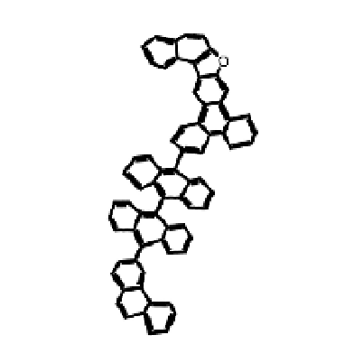 c1ccc2c(c1)ccc1ccc(-c3c4ccccc4c(-c4c5ccccc5c(-c5ccc6c(c5)c5ccccc5c5cc7oc8ccc9ccccc9c8c7cc65)c5ccccc45)c4ccccc34)cc12